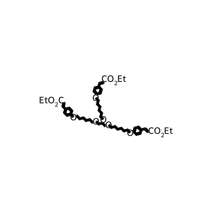 CCOC(=O)C=Cc1ccc(OCCCCCCOCC(COCCCCCCOc2ccc(C=CC(=O)OCC)cc2)OCCCCCCOc2ccc(C=CC(=O)OCC)cc2)cc1